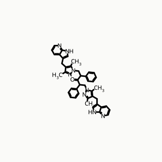 Cc1nn(CC(C(=O)C(Cn2nc(C)c(Cc3c[nH]c4ncccc34)c2C)c2ccccc2)c2ccccc2)c(C)c1Cc1c[nH]c2ncccc12